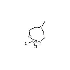 CN1CC[O][Sn]([Cl])([Cl])[O]CC1